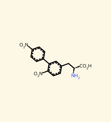 N[C@@H](Cc1ccc([N+](=O)[O-])c(-c2ccc([N+](=O)[O-])cc2)c1)C(=O)O